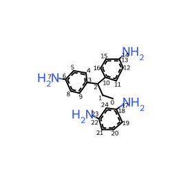 CCC(c1ccc(N)cc1)c1ccc(N)cc1.Nc1cccc(N)c1